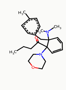 CCCC(=O)C1(N2CCOCC2)C=CC=CC1(Cc1ccc(C)cc1)N(C)C